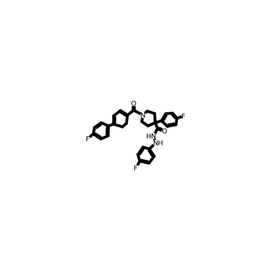 O=C(C1=CC=C(c2ccc(F)cc2)CC1)N1CCC(C(=O)NNc2ccc(F)cc2)(c2ccc(F)cc2)CC1